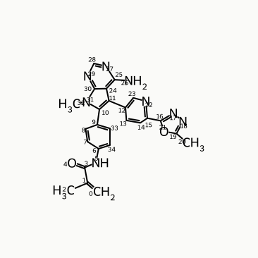 C=C(C)C(=O)Nc1ccc(-c2c(-c3ccc(-c4nnc(C)o4)nc3)c3c(N)ncnc3n2C)cc1